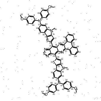 COc1ccc(N(c2ccc(OC)cc2)c2ccc3c4sc(-c5c6nsnc6c(-c6cc7c(s6)c6ccc(N(c8ccc(OC)cc8)c8ccc(OC)cc8)cc6n7C)c6nc7c8ccccc8c8ccccc8c7nc56)cc4n(C)c3c2)cc1